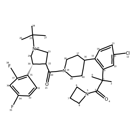 CC(C)(C(=O)N1CCC1)c1cc(Cl)ccc1C1CCN(C(=O)C2CN(C(C)(C)C)C[C@H]2c2ccc(F)cc2F)CC1